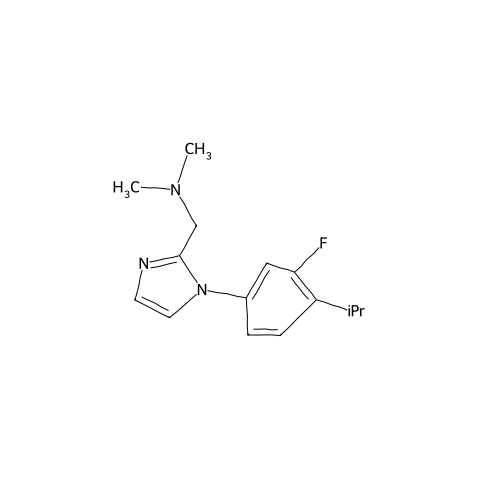 CC(C)c1ccc(-n2ccnc2CN(C)C)cc1F